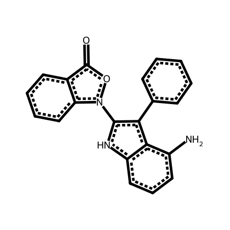 Nc1cccc2[nH]c(-n3oc(=O)c4ccccc43)c(-c3ccccc3)c12